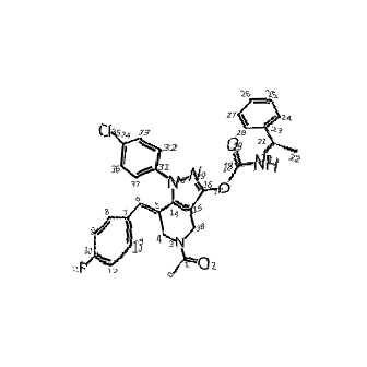 CC(=O)N1C/C(=C\c2ccc(F)cc2)c2c(c(OC(=O)N[C@H](C)c3ccccc3)nn2-c2ccc(Cl)cc2)C1